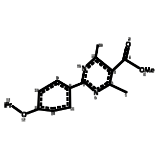 COC(=O)c1c(C)nc(-c2ccc(OC(C)C)cc2)nc1C